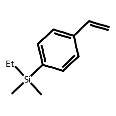 C=Cc1ccc([Si](C)(C)CC)cc1